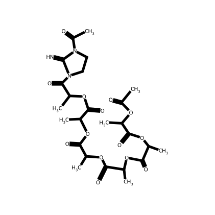 CC(=O)OC(C)C(=O)OC(C)C(=O)OC(C)C(=O)OC(C)C(=O)OC(C)C(=O)OC(C)C(=O)N1CCN(C(C)=O)C1=N